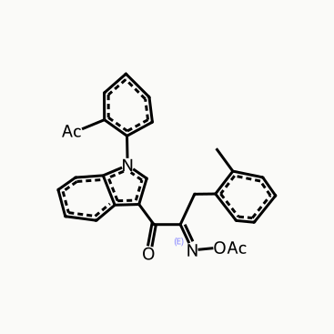 CC(=O)O/N=C(\Cc1ccccc1C)C(=O)c1cn(-c2ccccc2C(C)=O)c2ccccc12